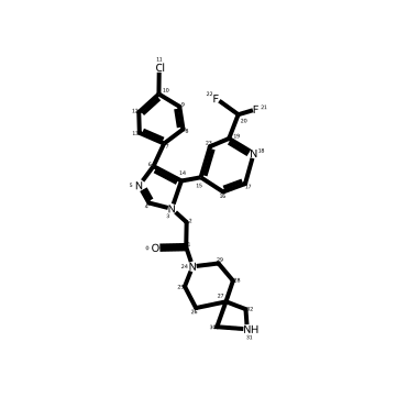 O=C(Cn1cnc(-c2ccc(Cl)cc2)c1-c1ccnc(C(F)F)c1)N1CCC2(CC1)CNC2